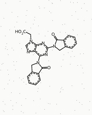 O=C(O)Cn1cnc2c(N3Cc4ccccc4C3=O)nc(N3Cc4ccccc4C3=O)nc21